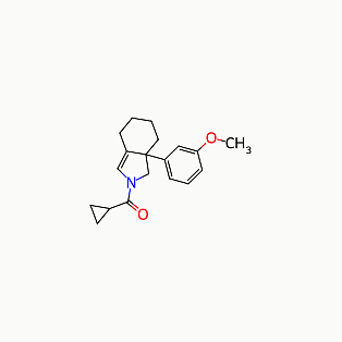 COc1cccc(C23CCCCC2=CN(C(=O)C2CC2)C3)c1